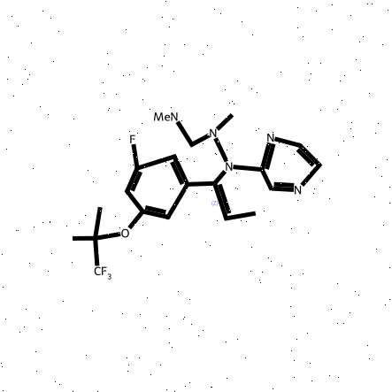 C/C=C(/c1cc(F)cc(OC(C)(C)C(F)(F)F)c1)N(c1cnccn1)N(C)CNC